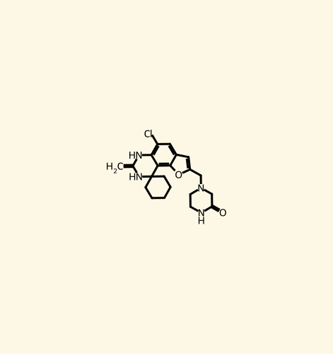 C=C1Nc2c(Cl)cc3cc(CN4CCNC(=O)C4)oc3c2C2(CCCCC2)N1